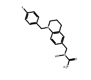 NC(=O)N(O)Cc1ccc2c(c1)CCCN2Cc1ccc(F)cc1